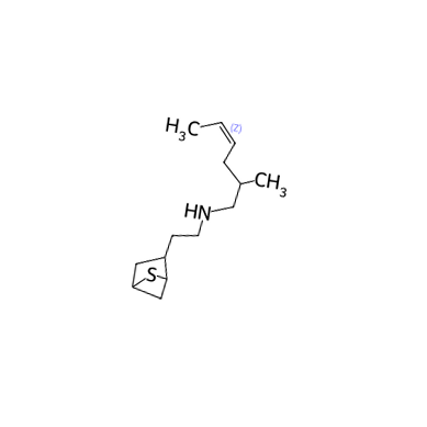 C/C=C\CC(C)CNCCC1CC2CC1S2